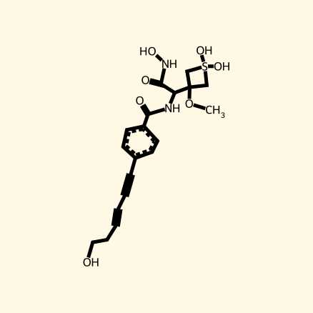 COC1(C(NC(=O)c2ccc(C#CC#CCCO)cc2)C(=O)NO)CS(O)(O)C1